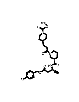 C#CC(CC(=O)OCc1ccc(Cl)cc1)NC(=O)[C@@H]1CCCN(C(=O)CCC2CCN(C(=O)OC(C)(C)C)CC2)C1